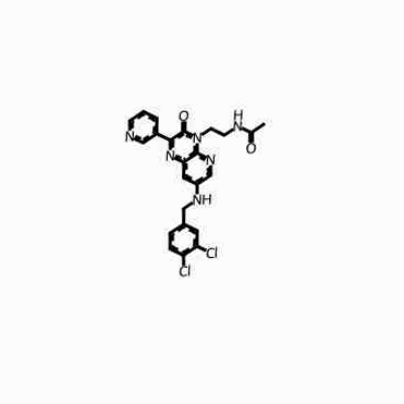 CC(=O)NCCn1c(=O)c(-c2cccnc2)nc2cc(NCc3ccc(Cl)c(Cl)c3)cnc21